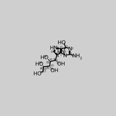 NC1=NC2(O)NN1c1c([C@H](O)[C@H](O)[C@H](O)[C@H](O)CO)c[nH]c12